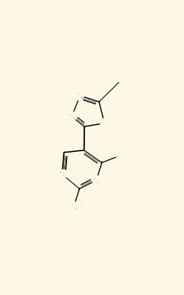 Cc1nnc(-c2cnc(N)nc2Cl)o1